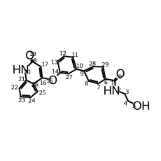 O=C(NCCO)c1ccc(-c2cccc(Oc3cc(=O)[nH]c4ccccc34)c2)cc1